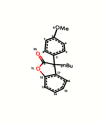 CCCCC1(c2ccc(OC)cc2)C(=O)Oc2ccccc21